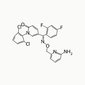 Nc1cccc(CON=C(c2ccc(=O)n(-c3c(Cl)cccc3Cl)c2)c2ccc(F)cc2F)n1